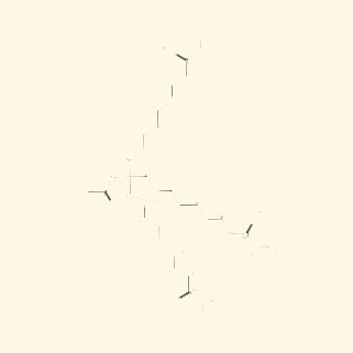 CCC(=O)NC(COCCCOCCC(=O)OC)(COCCCOCCC(=O)OC)COCCCOCCC(=O)OC